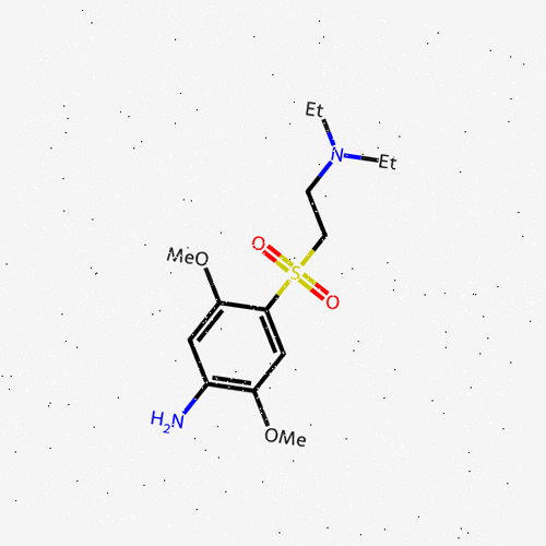 CCN(CC)CCS(=O)(=O)c1cc(OC)c(N)cc1OC